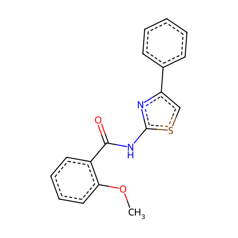 COc1ccccc1C(=O)Nc1nc(-c2ccccc2)cs1